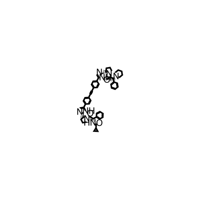 O=C(N[C@@H](C(=O)N1CCC[C@H]1c1ncc(-c2ccc(C#Cc3ccc(-c4cnc([C@@H]5CCCN5C(=O)[C@@H](c5ccccc5)N5CCCCC5)[nH]4)cc3)cc2)[nH]1)c1ccccc1)C1CC1